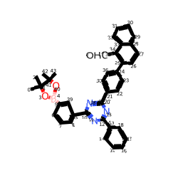 CC1(C)OB(c2cccc(-c3nc(-c4ccccc4)nc(-c4ccc(-c5ccc6ccccc6c5C=O)cc4)n3)c2)OC1(C)C